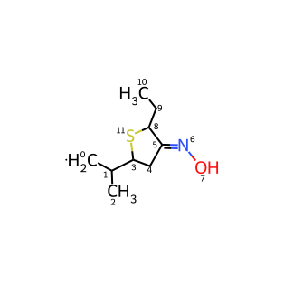 [CH2]C(C)C1CC(=NO)C(CC)S1